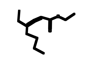 CCCCC(=C=CC(=O)OCC)CC